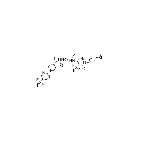 CC(CONC(=O)C(F)C1=CCN(c2ncc(C(F)(F)F)cn2)CC1)Nc1cnn(COCC[Si](C)(C)C)c(=O)c1C(F)(F)F